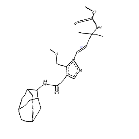 COCc1c(C(=O)NC2C3CC4CC(C3)CC2C4)cnn1/C=C/C(C)(C)NC(=O)OC